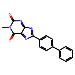 CN1C(=O)N=C2N=C(c3ccc(-c4ccccc4)cc3)N=C2C1=O